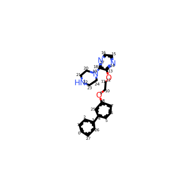 c1ccc(-c2cccc(OCCOc3nccnc3N3CCNCC3)c2)cc1